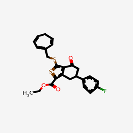 CCOC(=O)c1sc(SCC2=CC=CCC=C2)c2c1CC(c1ccc(F)cc1)CC2=O